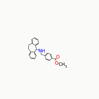 COC(=O)c1ccc(CNC2c3ccccc3CCc3ccccc32)cc1